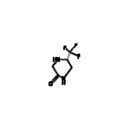 O=C1CN[C@H](C(F)(F)F)CN1